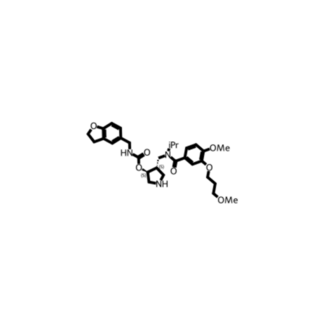 COCCCOc1cc(C(=O)N(C[C@@H]2CNC[C@H]2OC(=O)NCc2ccc3c(c2)CCO3)C(C)C)ccc1OC